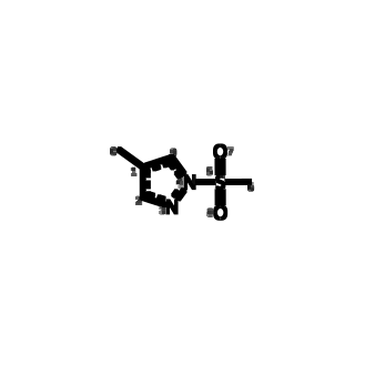 Cc1cnn(S(C)(=O)=O)c1